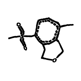 Cc1ccc(S(C)(=O)=O)c2c1COC2